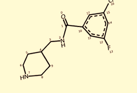 O=C(NCC1CCNCC1)c1cc(F)cc(Cl)c1